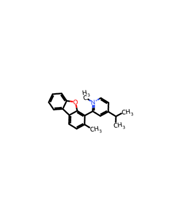 Cc1ccc2c(oc3ccccc32)c1-c1cc(C(C)C)cc[n+]1C